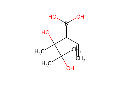 C=CC(B(O)O)C(C)(O)C(C)(C)O